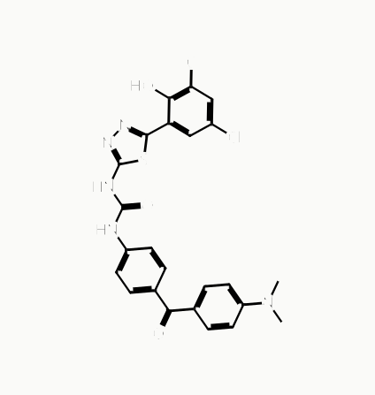 CN(C)c1ccc(C(=O)c2ccc(NC(=O)Nc3nnc(-c4cc(Cl)cc(Cl)c4O)s3)cc2)cc1